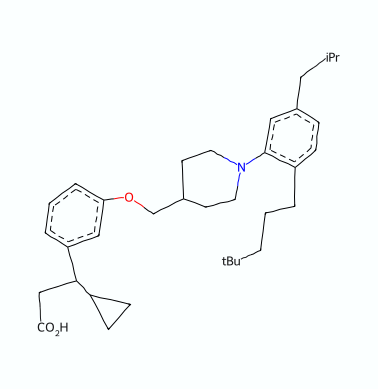 CC(C)Cc1ccc(CCCC(C)(C)C)c(N2CCC(COc3cccc(C(CC(=O)O)C4CC4)c3)CC2)c1